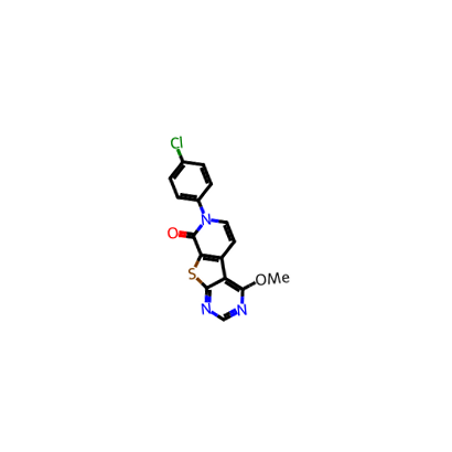 COc1ncnc2sc3c(=O)n(-c4ccc(Cl)cc4)ccc3c12